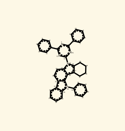 c1ccc(-c2nc(-c3ccccc3)nc(-n3c4c(c5c3ccc3c6ccccc6p(-c6ccccc6)c35)CCCC4)n2)cc1